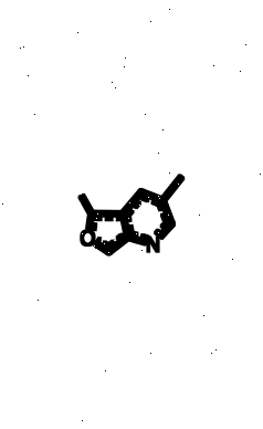 Cc1cnc2coc(C)c2c1